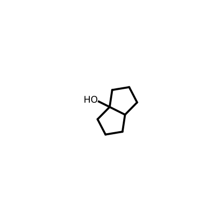 OC12CCCC1CCC2